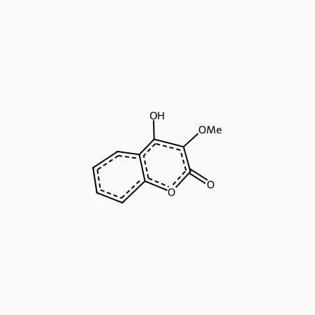 COc1c(O)c2ccccc2oc1=O